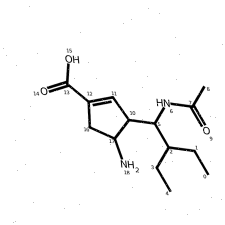 CCC(CC)C(NC(C)=O)C1C=C(C(=O)O)CC1N